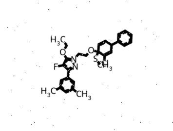 CCOc1c(F)c(-c2cc(C)cc(C)c2)nn1CCOC1(SC)C=CC(c2ccccc2)C=C1Cl